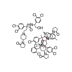 CC(CCN1CCC(N2CCCC2=O)CC1)(C(=O)NC(CO)c1ccc(Cl)c(Cl)c1)c1ccc(Cl)c(Cl)c1.Cc1ccc(CN(C)C(=O)C(C)(c2ccc(Cl)c(Cl)c2)C(CN2CCC(N3CCCC3=O)CC2)C(CC(C)(C(=O)N(C)Cc2ccccc2Cl)c2ccc(Cl)c(Cl)c2)N2CCC(N3CCCC3=O)CC2)cc1